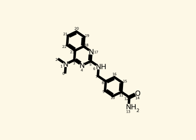 CN(C)c1nc(NCc2ccc(C(N)=O)cc2)nc2ccccc12